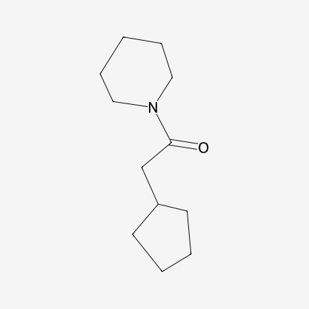 O=C(CC1CCCC1)N1CCCCC1